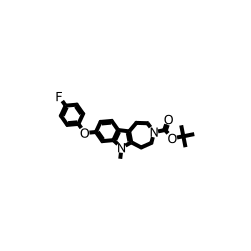 Cn1c2c(c3ccc(Oc4ccc(F)cc4)cc31)CCN(C(=O)OC(C)(C)C)CC2